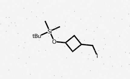 CC(C)(C)[Si](C)(C)OC1CC(CI)C1